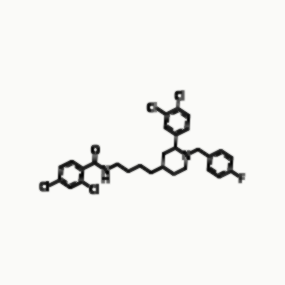 O=C(NCCCCC1CCN(Cc2ccc(F)cc2)C(c2ccc(Cl)c(Cl)c2)C1)c1ccc(Cl)cc1Cl